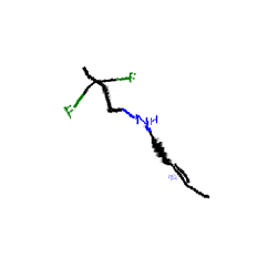 C/C=C/CNCC(C)(F)F